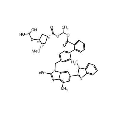 CCCc1nc2c(C)cc(-c3nc4ccccc4n3C)cc2n1Cc1ccc(-c2ccccc2C(=O)OC(C)OC(=O)[C@@H]2C[C@H](OC)[C@@H](ON(O)O)C2)cc1